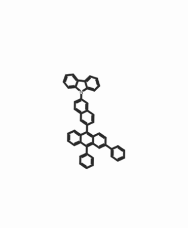 c1ccc(-c2ccc3c(-c4ccc5cc(-n6c7ccccc7c7ccccc76)ccc5c4)c4ccccc4c(-c4ccccc4)c3c2)cc1